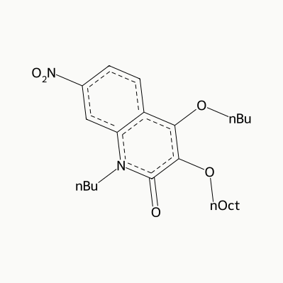 CCCCCCCCOc1c(OCCCC)c2ccc([N+](=O)[O-])cc2n(CCCC)c1=O